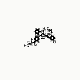 C=N/N=C\N(N)c1ccc(Cl)cc1/C=C/C(=O)N[C@@H](Cc1ccccc1)C(=O)Nc1ccc(C(=O)NCC(=O)O)c(F)c1